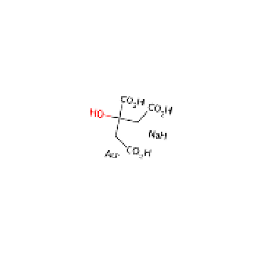 O=C(O)CC(O)(CC(=O)O)C(=O)O.[Au].[NaH]